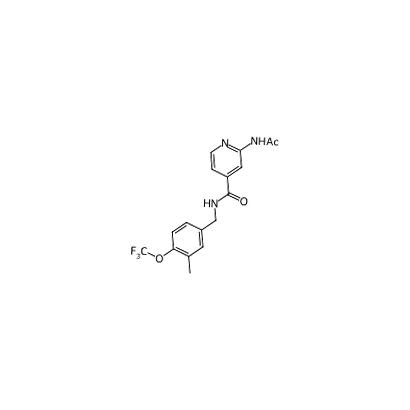 CC(=O)Nc1cc(C(=O)NCc2ccc(OC(F)(F)F)c(C)c2)ccn1